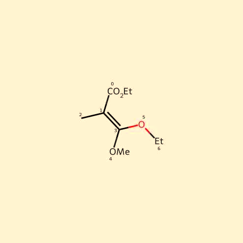 CCOC(=O)C(C)=C(OC)OCC